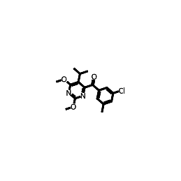 COc1nc(OC)c(C(C)C)c(C(=O)c2cc(C)cc(Cl)c2)n1